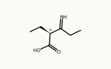 CCC(=N)[C@H](CC)C(=O)O